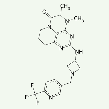 C[C@H]1C(=O)N2CCCc3nc(NC4CN(Cc5ccc(C(F)(F)F)nc5)C4)nc(c32)N1C